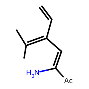 C=CC(/C=C(\N)C(C)=O)=C(C)C